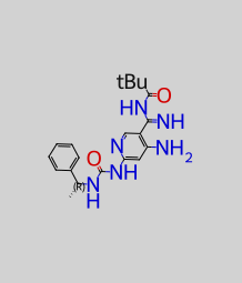 C[C@@H](NC(=O)Nc1cc(N)c(C(=N)NC(=O)C(C)(C)C)cn1)c1ccccc1